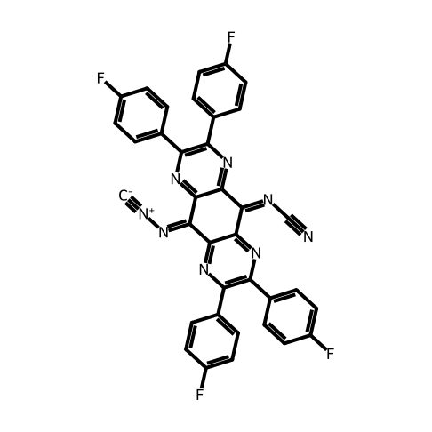 [C-]#[N+]N=C1c2nc(-c3ccc(F)cc3)c(-c3ccc(F)cc3)nc2C(=NC#N)c2nc(-c3ccc(F)cc3)c(-c3ccc(F)cc3)nc21